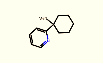 CNC1(c2ccccn2)CCCCC1